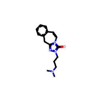 CN(C)CCCn1nc2n(c1=O)C=Cc1ccccc1C2